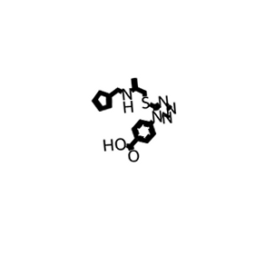 C=C(CSc1nnnn1-c1ccc(C(=O)O)cc1)NCC1=CC=CC1